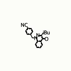 CCC(C)c1nn(Cc2ccc(C#N)cc2)c2ccccc2c1=O